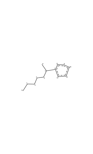 CCCCCC(C)c1[c]cc[c]c1